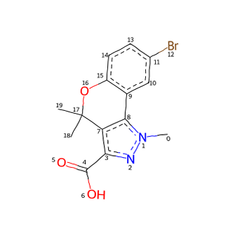 Cn1nc(C(=O)O)c2c1-c1cc(Br)ccc1OC2(C)C